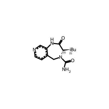 CC[C@H](C)[C@H]1C(=O)Nc2cnccc2CN1C(N)=O